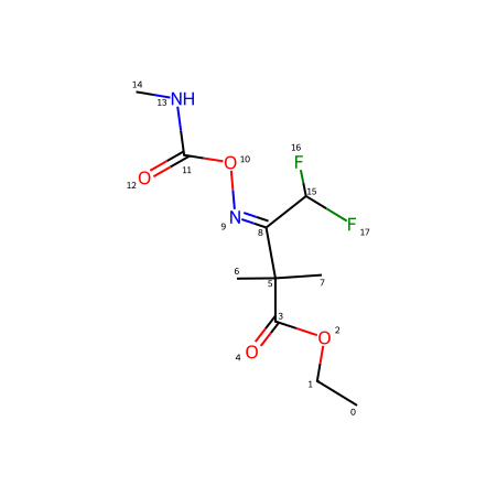 CCOC(=O)C(C)(C)C(=NOC(=O)NC)C(F)F